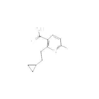 NC(=O)c1ccc(Cl)nc1CCC1CC1